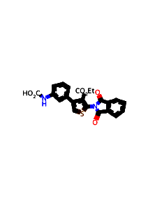 CCOC(=O)c1c(-c2cccc(NC(=O)O)c2)csc1N1C(=O)c2ccccc2C1=O